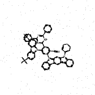 CC(C)(C)c1ccc2c(c1)c1cc(C(C)(C)C)ccc1n2-c1cc(-n2c3ccccc3c3cc4c5ccccc5n(C5=CCCC=C5)c4cc32)c(C#N)cc1C1N=C(c2ccccc2)N=C(c2ccccc2)N1